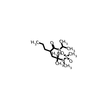 CCCC(CC(C)(C)N(C)S(C)(=O)=O)C(=O)NC(C)C